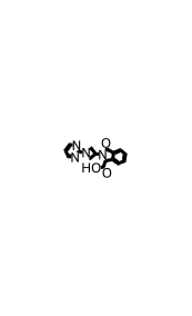 O=C(O)C1c2ccccc2C(=O)N1C1CN(c2ncccn2)C1